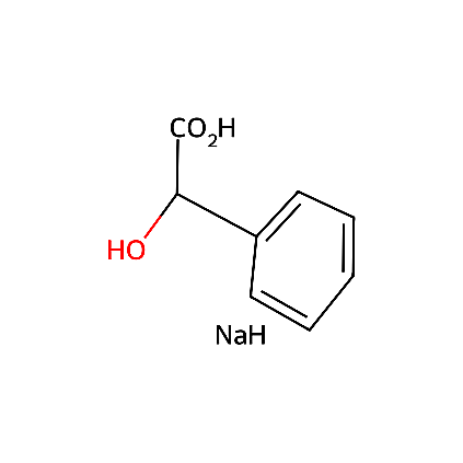 O=C(O)C(O)c1ccccc1.[NaH]